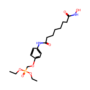 CCOP(=O)(COc1ccc(NC(=O)CCCCCCC(=O)NO)cc1)OCC